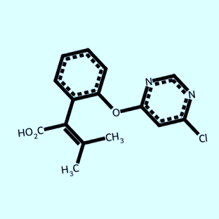 CC(C)=C(C(=O)O)c1ccccc1Oc1cc(Cl)ncn1